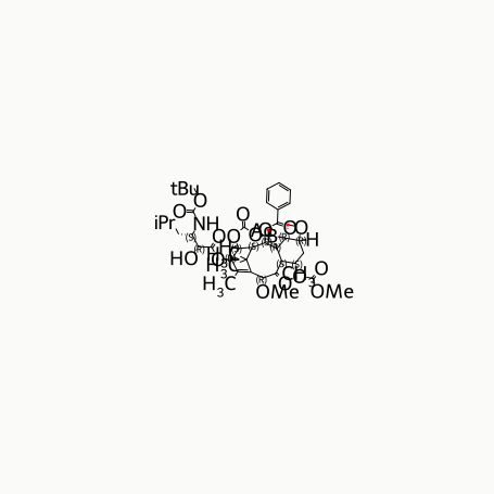 COC(=O)O[C@H]1C[C@H]2OC[C@]23B(C(C)=O)[C@@]32[C@H](OC(=O)c3ccccc3)[C@]34OC(=O)O[C@H]3[C@H](OC(=O)[C@H](O)[C@H](CC(C)C)NC(=O)OC(C)(C)C)C(C)=C([C@@H](OC)C(=O)[C@]12C)C4(C)C